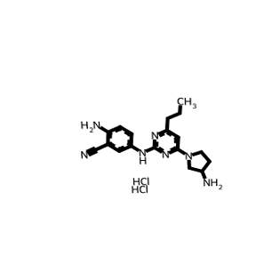 CCCc1cc(N2CCC(N)C2)nc(Nc2ccc(N)c(C#N)c2)n1.Cl.Cl